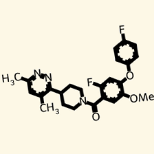 COc1cc(C(=O)N2CCC(c3nnc(C)cc3C)CC2)c(F)cc1Oc1ccc(F)cc1